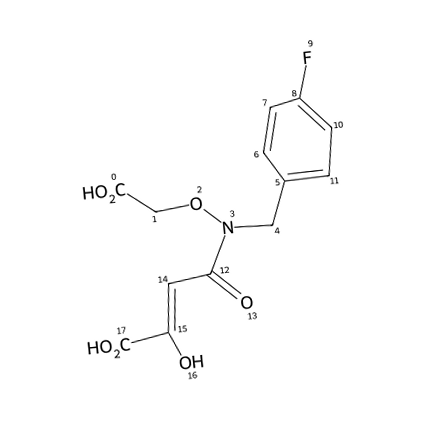 O=C(O)CON(Cc1ccc(F)cc1)C(=O)C=C(O)C(=O)O